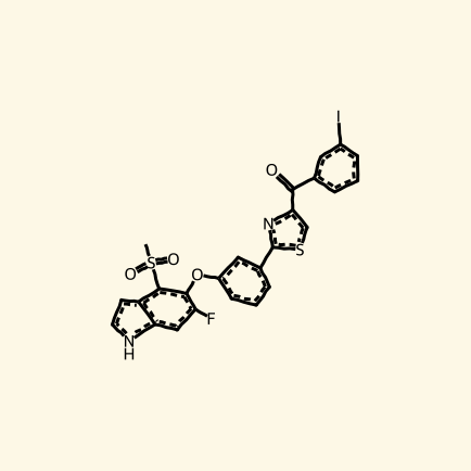 CS(=O)(=O)c1c(Oc2cccc(-c3nc(C(=O)c4cccc(I)c4)cs3)c2)c(F)cc2[nH]ccc12